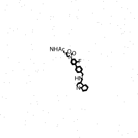 CC(=O)NC[C@H]1CN(c2ccc(-c3ccc(CNCC4=CC=NC5C=CC=CC45)cc3)c(F)c2)C(=O)O1